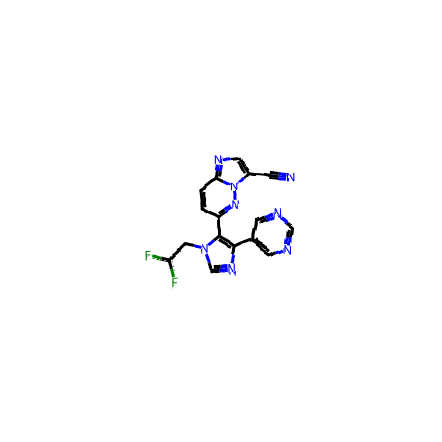 N#Cc1cnc2ccc(-c3c(-c4cncnc4)ncn3CC(F)F)nn12